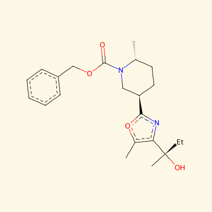 CC[C@](C)(O)c1nc([C@@H]2CC[C@@H](C)N(C(=O)OCc3ccccc3)C2)oc1C